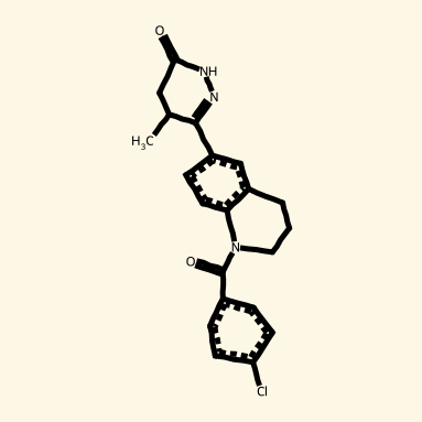 CC1CC(=O)NN=C1c1ccc2c(c1)CCCN2C(=O)c1ccc(Cl)cc1